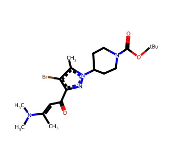 C/C(=C\C(=O)c1nn(C2CCN(C(=O)OC(C)(C)C)CC2)c(C)c1Br)N(C)C